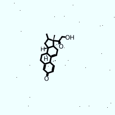 CC1C[C@H]2[C@@H]3CCC4=CC(=O)C=C[C@]4(C)C3=CC[C@]2(C)[C@@]1(C)C(=O)CO